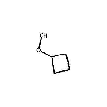 OOC1CCC1